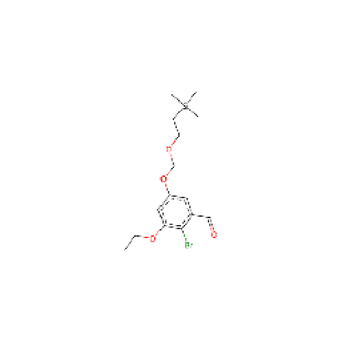 CCOc1cc(OCOCC[Si](C)(C)C)cc(C=O)c1Br